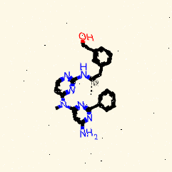 C[C@@H](Cc1cccc(CO)c1)Nc1nccc(N(C)c2cc(N)nc(-c3ccccc3)n2)n1